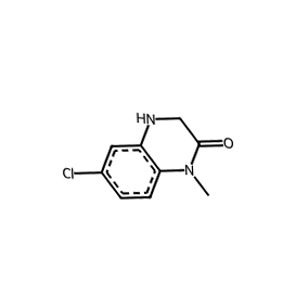 CN1C(=O)CNc2cc(Cl)ccc21